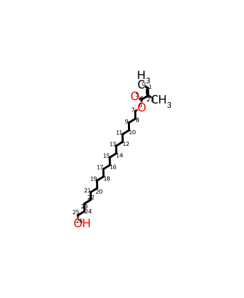 CC=C(C)C(=O)OCCCCCCCCCCCCCCCCCCCO